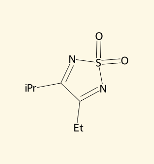 CCC1=NS(=O)(=O)N=C1C(C)C